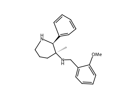 COc1ccccc1CN[C@@]1(C)CCCN[C@H]1c1ccccc1